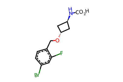 O=C(O)N[C@H]1C[C@H](OCc2ccc(Br)cc2F)C1